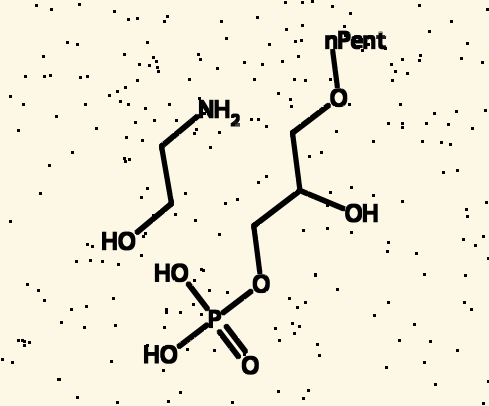 CCCCCOCC(O)COP(=O)(O)O.NCCO